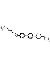 CCCCCCOc1ccc(-c2ccc(C3CCC(CC)CC3)cc2)cc1